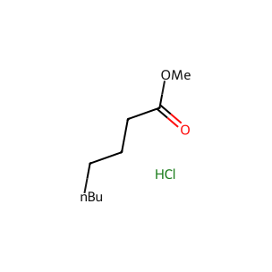 CCCCCCCC(=O)OC.Cl